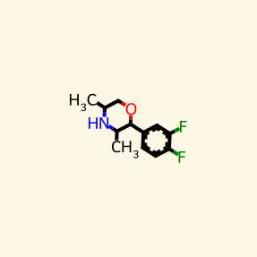 CC1COC(c2ccc(F)c(F)c2)C(C)N1